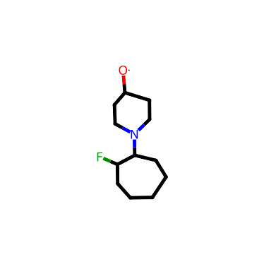 [O]C1CCN(C2CCCCCC2F)CC1